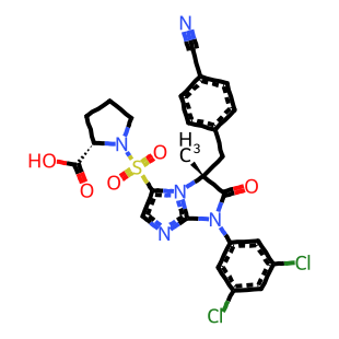 C[C@@]1(Cc2ccc(C#N)cc2)C(=O)N(c2cc(Cl)cc(Cl)c2)c2ncc(S(=O)(=O)N3CCC[C@H]3C(=O)O)n21